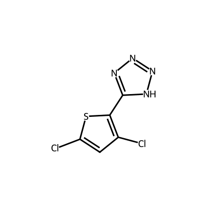 Clc1cc(Cl)c(-c2nnn[nH]2)s1